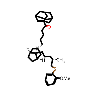 COc1ccccc1SC[C@@H](C)CCC[C@H]1[C@@H]2CC[C@H]1C[C@H](CCCCC(=O)C13CC4CC(CC(C4)C1)C3)C2